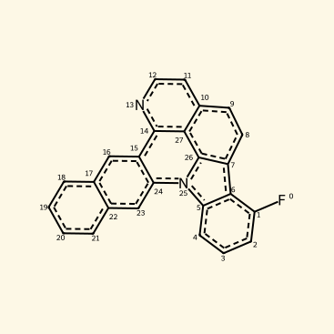 Fc1cccc2c1c1ccc3ccnc4c5cc6ccccc6cc5n2c1c34